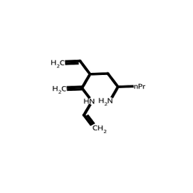 C=CNC(=C)C(C=C)CC(N)CCC